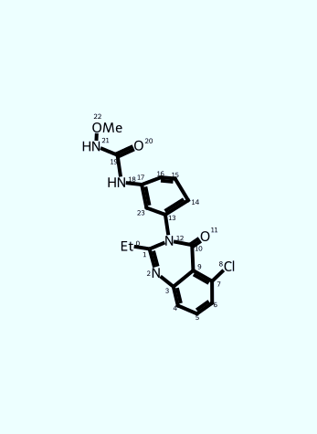 CCc1nc2cccc(Cl)c2c(=O)n1-c1cccc(NC(=O)NOC)c1